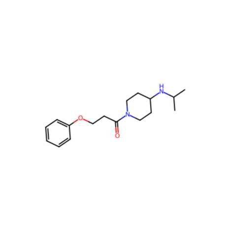 CC(C)NC1CCN(C(=O)CCOc2ccccc2)CC1